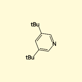 CC(C)(C)c1cncc(C(C)(C)C)c1